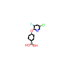 OB(O)c1ccc(Oc2ncc(Cl)cc2F)cc1